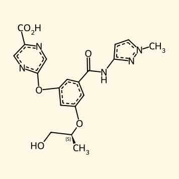 C[C@@H](CO)Oc1cc(Oc2cnc(C(=O)O)cn2)cc(C(=O)Nc2ccn(C)n2)c1